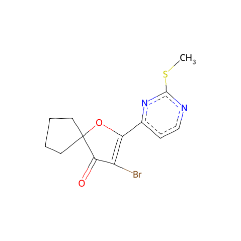 CSc1nccc(C2=C(Br)C(=O)C3(CCCC3)O2)n1